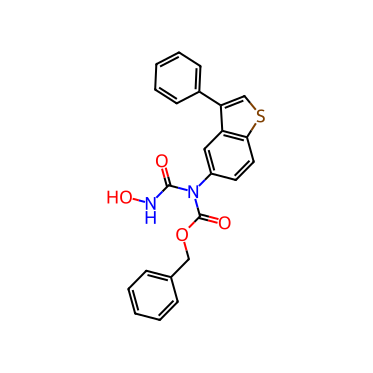 O=C(NO)N(C(=O)OCc1ccccc1)c1ccc2scc(-c3ccccc3)c2c1